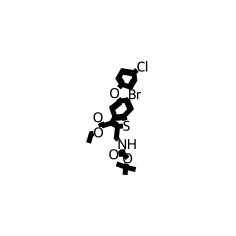 CCOC(=O)c1c(CNC(=O)OC(C)(C)C)sc2cc(Br)c(Oc3ccc(Cl)cc3)cc12